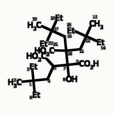 CCC(C)(CC)CC(C(=O)O)C(O)(C(=O)O)C(CC(C)(CC)CC)(CC(C)(CC)CC)C(=O)O